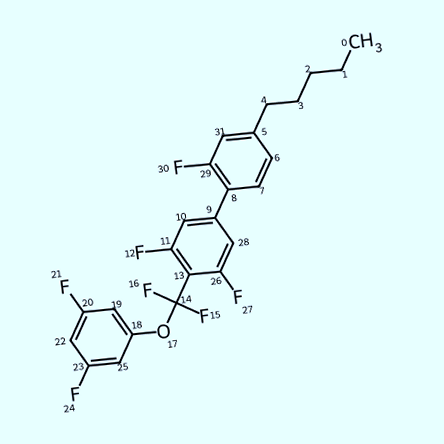 CCCCCc1ccc(-c2cc(F)c(C(F)(F)Oc3cc(F)cc(F)c3)c(F)c2)c(F)c1